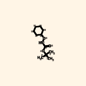 CC(C)(C)OC(=O)NOC1CCCCC1